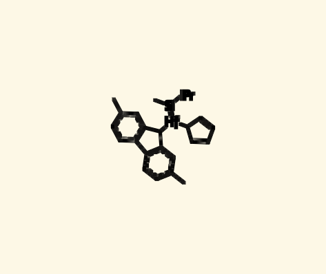 Cc1ccc2c(c1)[CH]([Hf]([CH]1C=CC=C1)=[Si](C)C(C)C)c1cc(C)ccc1-2